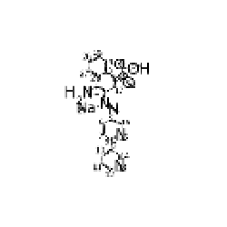 Nc1c(N=Nc2ccc(-c3cccnc3)nc2)cc(S(=O)(=O)O)c2ccccc12.[Na]